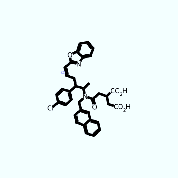 CC(C(C/C=C\c1nc2ccccc2o1)c1ccc(Cl)cc1)N(Cc1ccc2ccccc2c1)C(=O)CC(CC(=O)O)C(=O)O